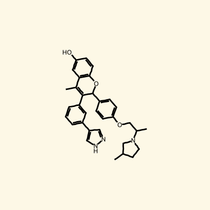 CC1=C(c2cccc(-c3cn[nH]c3)c2)C(c2ccc(OCC(C)N3CCC(C)C3)cc2)Oc2ccc(O)cc21